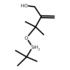 C=C(CO)C(C)(C)O[SiH2]C(C)(C)C